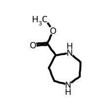 COC(=O)C1CCNCCN1